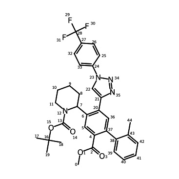 COC(=O)c1cc(C2CCCCN2C(=O)OC(C)(C)C)c(-c2cn(-c3ccc(C(F)(F)F)cc3)nn2)cc1-c1ccccc1C